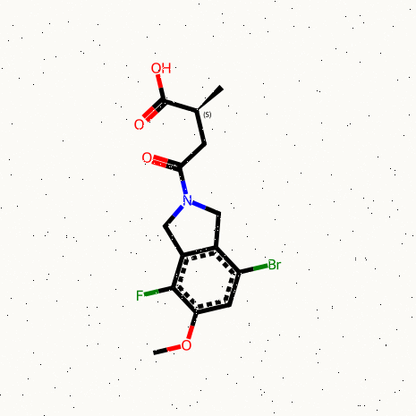 COc1cc(Br)c2c(c1F)CN(C(=O)C[C@H](C)C(=O)O)C2